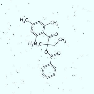 CCC(C)(O[P](=O)c1ccccc1)C(=O)c1c(C)cc(C)cc1C